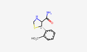 NC(=O)C1NCS[C@H]1c1ccccc1C(=O)O